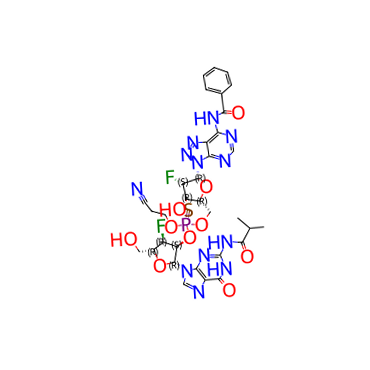 CC(C)C(=O)Nc1nc2c(ncn2[C@@H]2O[C@H](CO)[C@@H](F)[C@H]2OP(=S)(OCCC#N)OC[C@H]2O[C@@H](n3nnc4c(NC(=O)c5ccccc5)ncnc43)[C@@H](F)[C@@H]2O)c(=O)[nH]1